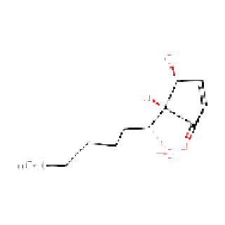 CCCCCCCCCCCC[C@@H](O)[C@@]1(O)C(=O)C=C[C@@H]1O